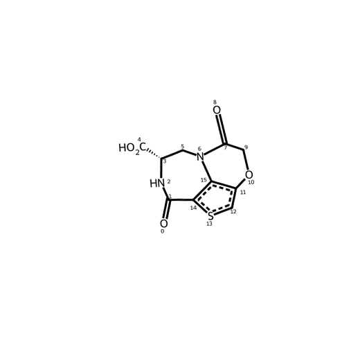 O=C1N[C@H](C(=O)O)CN2C(=O)COc3csc1c32